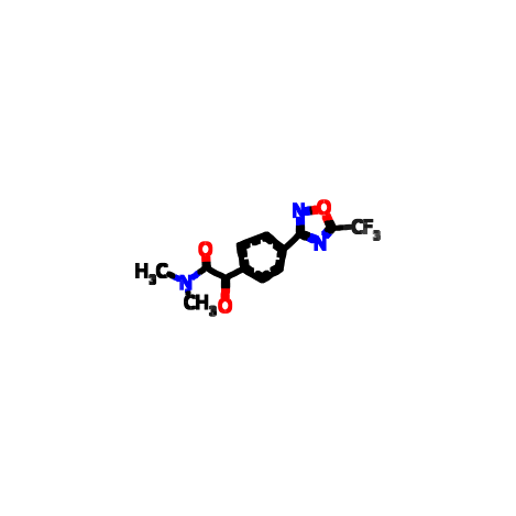 CN(C)C(=O)C(=O)c1ccc(-c2noc(C(F)(F)F)n2)cc1